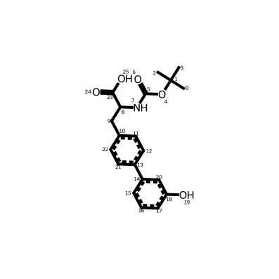 CC(C)(C)OC(=O)NC(Cc1ccc(-c2cccc(O)c2)cc1)C(=O)O